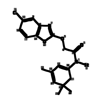 CCN(C(=O)COc1nc2cc(Cl)ccc2o1)C1=CC(C)=CC(C)(C)C1